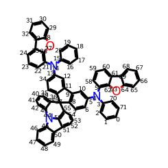 c1ccc(N(c2ccc3c(c2)-c2cc(N(c4ccccc4)c4cccc5c4oc4ccccc45)ccc2C32c3ccccc3-n3c4ccccc4c4cccc2c43)c2cccc3c2oc2ccccc23)cc1